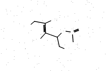 CC(=C(C#N)CC(F)(F)F)C(CC(F)(F)F)O[PH](=O)O